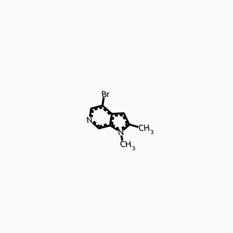 Cc1cc2c(Br)cncc2n1C